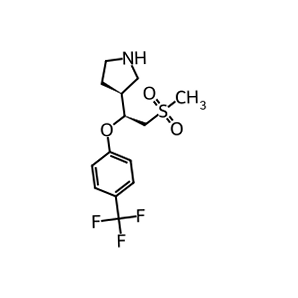 CS(=O)(=O)C[C@@H](Oc1ccc(C(F)(F)F)cc1)[C@H]1CCNC1